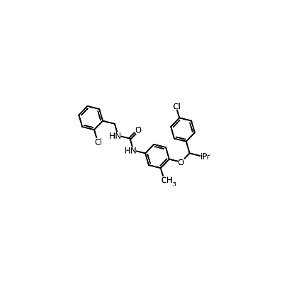 Cc1cc(NC(=O)NCc2ccccc2Cl)ccc1OC(c1ccc(Cl)cc1)C(C)C